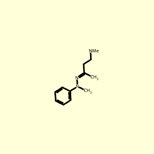 CNCC/C(C)=N/N(C)c1ccccc1